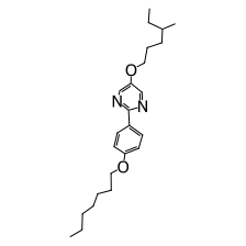 CCCCCCCOc1ccc(-c2ncc(OCCCC(C)CC)cn2)cc1